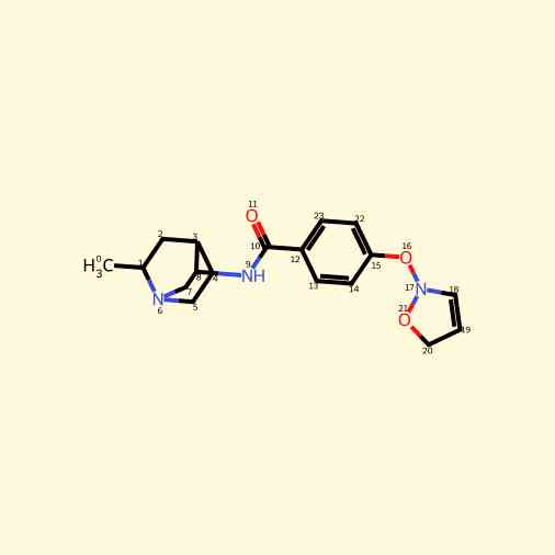 CC1CC2CCN1CC2NC(=O)c1ccc(ON2C=CCO2)cc1